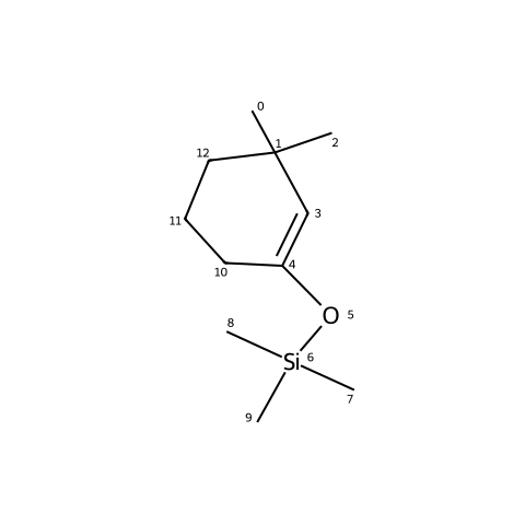 CC1(C)C=C(O[Si](C)(C)C)CCC1